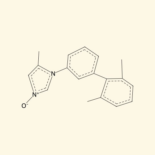 Cc1cccc(C)c1-c1cccc(-n2c[n+]([O-])cc2C)c1